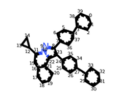 c1ccc(-c2ccc(-c3nn4c(C5CC5)cc5ccccc5c4c3-c3ccc(-c4ccccc4)cc3)cc2)cc1